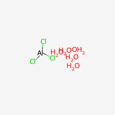 O.O.O.O.O.[Cl][Al]([Cl])[Cl]